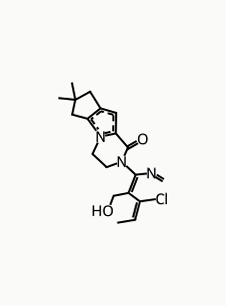 C=N/C(=C(CO)\C(Cl)=C/C)N1CCn2c(cc3c2CC(C)(C)C3)C1=O